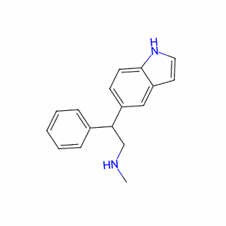 CNCC(c1ccccc1)c1ccc2[nH]ccc2c1